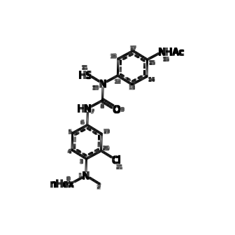 CCCCCCN(C)c1ccc(NC(=O)N(S)c2ccc(NC(C)=O)cc2)cc1Cl